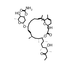 CCC(=O)[C@@H](C)[C@@H](O)[C@H](C)C[C@@H](C)[C@H]1OC(=O)C[C@@]2(O)CC=C(C)[C@H](O2)/C(C)=C/CCC[C@@H](O[C@H]2C[C@@H](OC(N)=O)[C@H](O)[C@@H](C)O2)/C=C/[C@H](C)C[C@H]1C